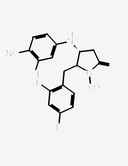 CCCN1C(=O)C[C@H](Nc2ccc(C#N)c(Cl)c2)C1Cc1ccc(F)cc1F